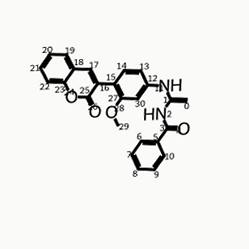 C=C(NC(=O)c1ccccc1)Nc1ccc(-c2cc3ccccc3oc2=O)c(OC)c1